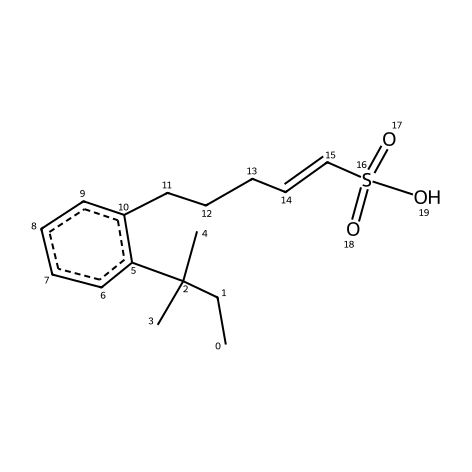 CCC(C)(C)c1ccccc1CCCC=CS(=O)(=O)O